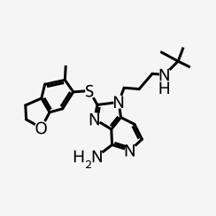 Cc1cc2c(cc1Sc1nc3c(N)nccc3n1CCCNC(C)(C)C)OCC2